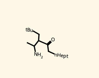 CCCCCCCCC(=O)C(CC(C)(C)C)C(C)N